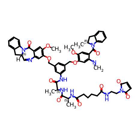 C=Nc1cc(OCc2cc(COc3cc4c(cc3OC)C(=O)N3c5ccccc5C[C@H]3C=N4)cc(NC(=O)[C@H](C)NC(=O)[C@H](C)NC(=O)CCCCC(=O)NCCN3C(=O)C=CC3=O)c2)c(OC)cc1C(=O)N1c2ccccc2C[C@H]1C